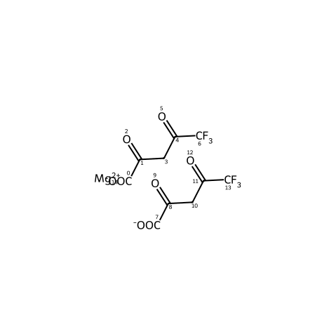 O=C([O-])C(=O)CC(=O)C(F)(F)F.O=C([O-])C(=O)CC(=O)C(F)(F)F.[Mg+2]